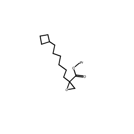 CC(C)OC(=O)C1(CCCCCCC2CCC2)CO1